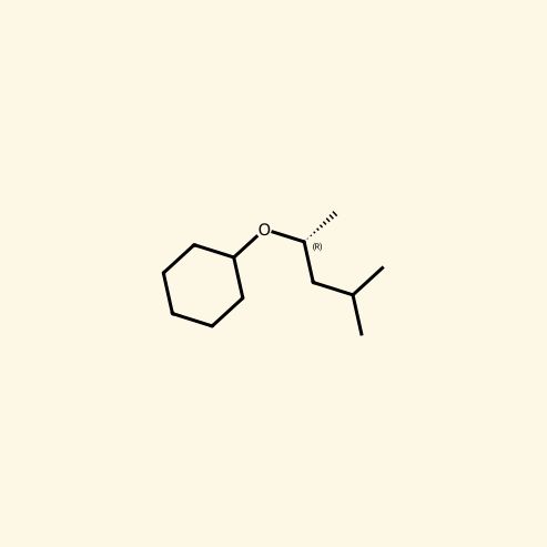 CC(C)C[C@@H](C)OC1CCCCC1